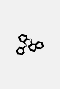 [c]1cccc(Oc2cccc3ccccc23)c1Sc1ccccc1